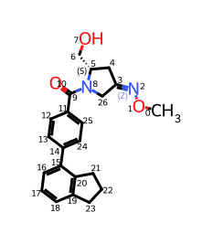 CO/N=C1/C[C@@H](CO)N(C(=O)c2ccc(-c3cccc4c3CCC4)cc2)C1